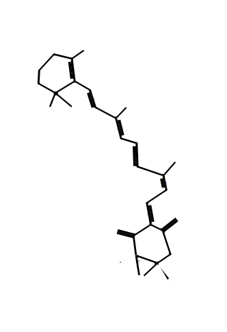 CC1=C(/C=C/C(C)=C/C=C/C(C)=C\C=C2/C(=O)C[C@@H]3O[C@H]3C2=O)C(C)(C)CCC1